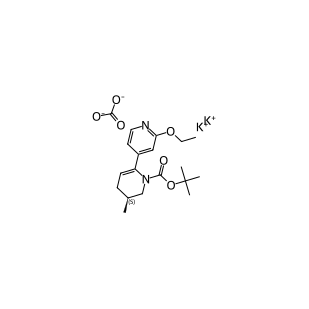 CCOc1cc(C2=CC[C@H](C)CN2C(=O)OC(C)(C)C)ccn1.O=C([O-])[O-].[K+].[K+]